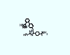 CCCc1nc(C2CCC(C(C)N)CC2)n(Cc2ccc(-c3ccccc3-c3nnn[nH]3)cc2)n1